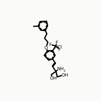 Cc1cccc(CCCOc2ccc(/C=C/C(N)(CO)CO)cc2C(F)(F)F)c1.Cl